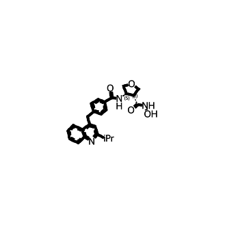 CC(C)c1cc(Cc2ccc(C(=O)N[C@@H]3COC[C@@H]3C(=O)NO)cc2)c2ccccc2n1